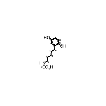 O=C(O)NCCCCCc1cc(O)ccc1O